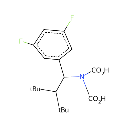 CC(C)(C)C(C(c1cc(F)cc(F)c1)N(C(=O)O)C(=O)O)C(C)(C)C